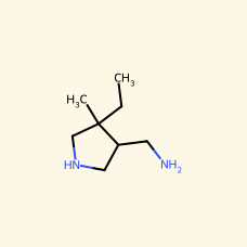 CCC1(C)CNCC1CN